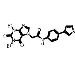 CCn1c(=O)c2c(ncn2CC(=O)Nc2ccc(-c3ccsc3)cc2)n(CC)c1=O